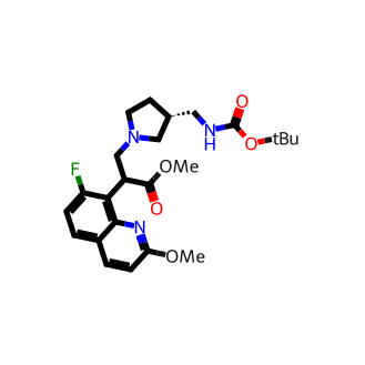 COC(=O)C(CN1CC[C@H](CNC(=O)OC(C)(C)C)C1)c1c(F)ccc2ccc(OC)nc12